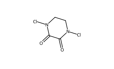 O=C1C(=O)N(Cl)CCN1Cl